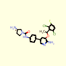 CC(Oc1cc(-c2ccc(NC(=O)N3CC[C@@H](N)C3)cc2)cnc1N)c1c(Cl)ccc(F)c1Cl